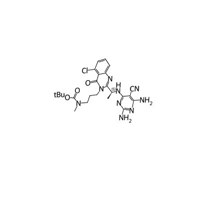 C[C@H](Nc1nc(N)nc(N)c1C#N)c1nc2cccc(Cl)c2c(=O)n1CCCN(C)C(=O)OC(C)(C)C